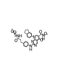 CONC(=O)c1cn(-c2ccc3c(c2)CCC3)c2nc(Nc3ccc(CCC(=O)NSOOC)cc3)ncc2c1=O